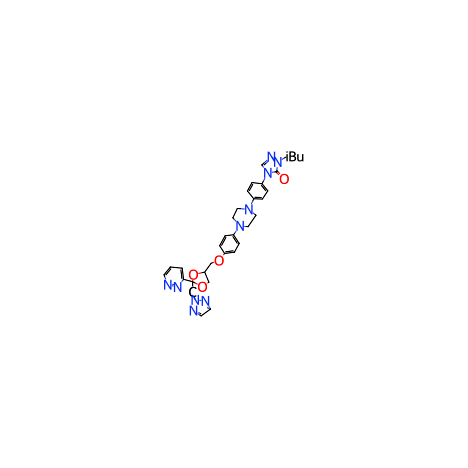 CCC(C)n1ncn(-c2ccc(N3CCN(c4ccc(OCC5COC(Cn6nccn6)(c6cccnn6)O5)cc4)CC3)cc2)c1=O